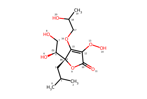 CC(C)C[C@]1([C@@H](O)CO)OC(=O)C(OO)=C1OCC(C)O